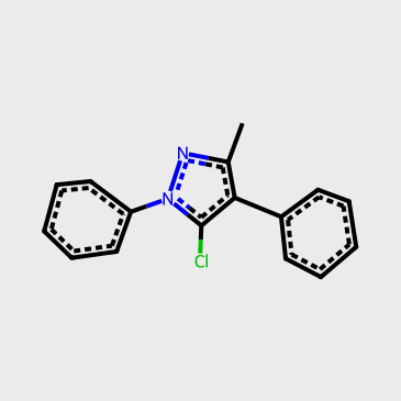 Cc1nn(-c2ccccc2)c(Cl)c1-c1ccccc1